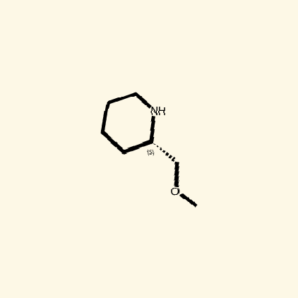 COC[C@@H]1CCCCN1